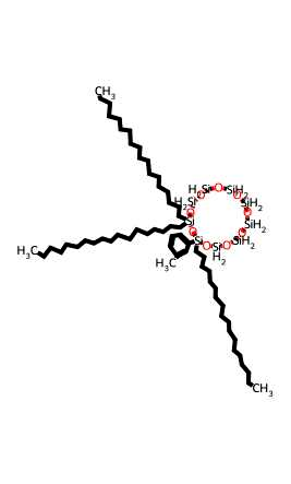 CCCCCCCCCCCCCCCCCC[Si]1(CCCCCCCCCCCCCCCCCC)O[SiH2]O[SiH2]O[SiH2]O[SiH2]O[SiH2]O[SiH2]O[SiH2]O[Si](CCCCCCCCCCCCCCCCCC)(c2cccc(C)c2)O1